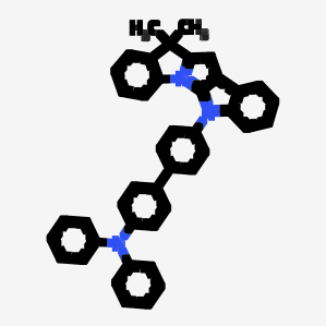 CC1(C)c2ccccc2-n2c1cc1c3ccccc3n(-c3ccc(-c4ccc(N(c5ccccc5)c5ccccc5)cc4)cc3)c12